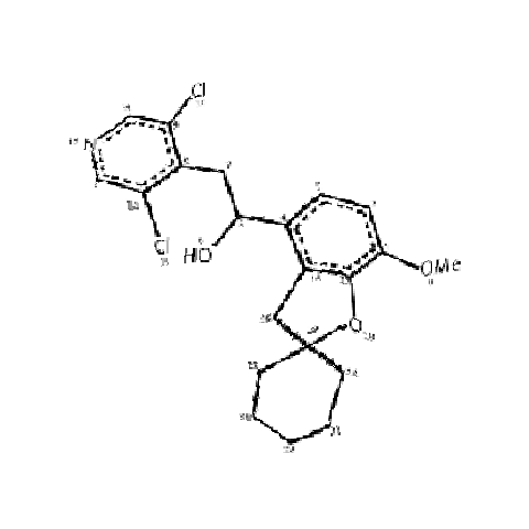 COc1ccc(C(O)Cc2c(Cl)cncc2Cl)c2c1OC1(CCCCC1)C2